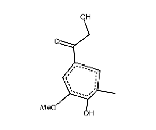 COc1cc(C(=O)CO)cc(C)c1O